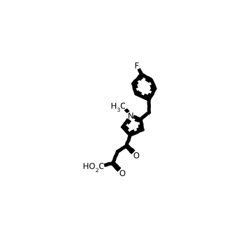 Cn1cc(C(=O)CC(=O)C(=O)O)cc1Cc1ccc(F)cc1